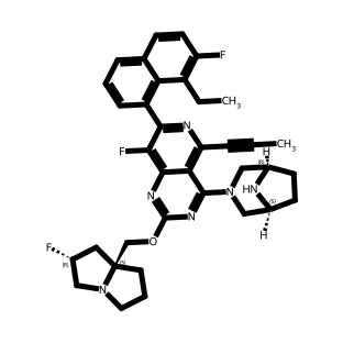 CC#Cc1nc(-c2cccc3ccc(F)c(CC)c23)c(F)c2nc(OC[C@@]34CCCN3C[C@H](F)C4)nc(N3C[C@H]4CC[C@@H](C3)N4)c12